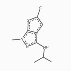 CC(C)Nc1nn(C)c2sc(Cl)cc12